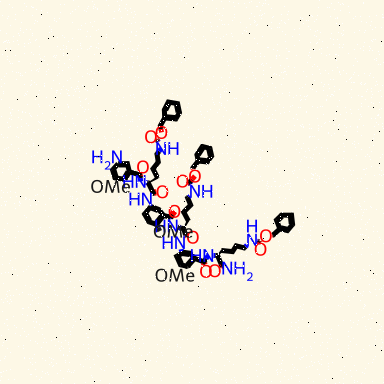 COc1ccc(NC(=O)[C@H](CCCCNC(=O)OCc2ccccc2)NC(=O)c2cc(NC(=O)[C@H](CCCCNC(=O)OCc3ccccc3)NC(=O)c3cc(N)ccc3OC)ccc2OC)cc1C(=O)N[C@@H](CCCCNC(=O)OCc1ccccc1)C(N)=O